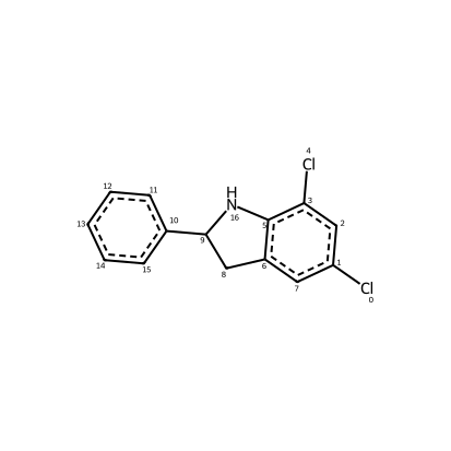 Clc1cc(Cl)c2c(c1)CC(c1ccccc1)N2